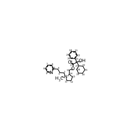 C[N@+]1(CCCc2ccccn2)CCCC1COC(=O)C(O)(c1ccccc1)C1CCCCC1